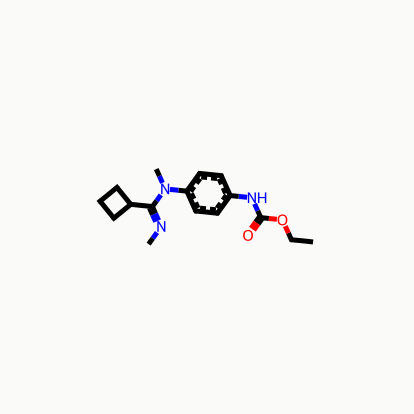 CCOC(=O)Nc1ccc(N(C)C(=NC)C2CCC2)cc1